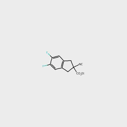 [C-]#[N+]C1(C(=O)OCC)Cc2cc(F)c(F)cc2C1